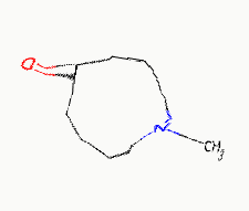 CN1CCCC(=O)CCC1